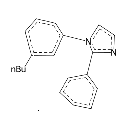 CCCCc1cccc(-n2ccnc2-c2ccccc2)c1